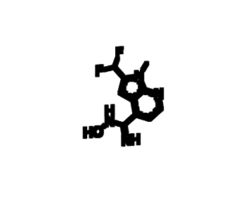 Cn1c(C(F)F)cc2c(C(=N)NO)ccnc21